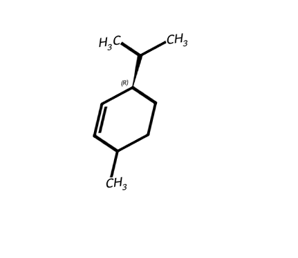 CC1C=C[C@@H](C(C)C)CC1